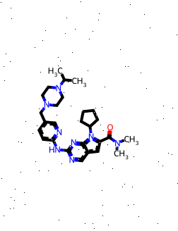 CC(C)N1CCN(Cc2ccc(Nc3ncc4cc(C(=O)N(C)C)n(C5CCCC5)c4n3)nc2)CC1